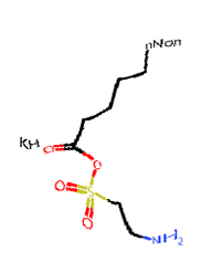 CCCCCCCCCCCCCC(=O)OS(=O)(=O)CCN.[KH]